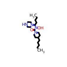 CCCCCC1CCN(C(=O)N(O)C(CCCC)N2CCNCC2)CC1